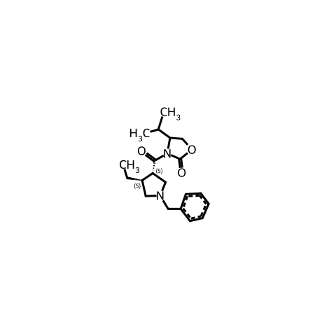 CC[C@@H]1CN(Cc2ccccc2)C[C@H]1C(=O)N1C(=O)OCC1C(C)C